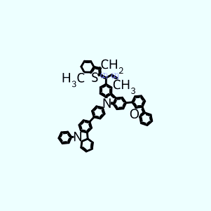 C=c1c2c(s/c1=C(/C=C\C)c1ccc3c(c1)c1cc(-c4cccc5c4oc4ccccc45)ccc1n3-c1ccc(-c3ccc4c(c3)C3C=CC=CC3N4c3ccccc3)cc1)C(C)CC=C2